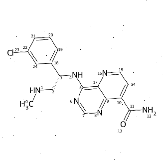 CNC[C@@H](Nc1ncnc2c(C(N)=O)ccnc12)c1cccc(Cl)c1